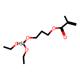 C=C(C)C(=O)OCCCO[SiH](OCC)OCC